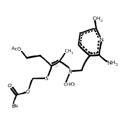 CC(=O)OCC/C(SCOC(=O)C(C)(C)C)=C(\C)N(C=O)Cc1ccc(C)nc1N